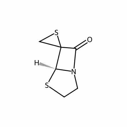 O=C1N2CCS[C@H]2C12CS2